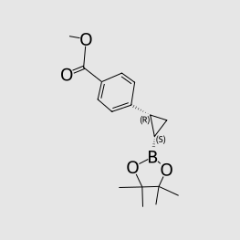 COC(=O)c1ccc([C@@H]2C[C@@H]2B2OC(C)(C)C(C)(C)O2)cc1